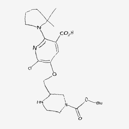 CC(C)(C)OC(=O)N1CCNC(COc2cc(C(=O)O)c(N3CCCC3(C)C)nc2Cl)C1